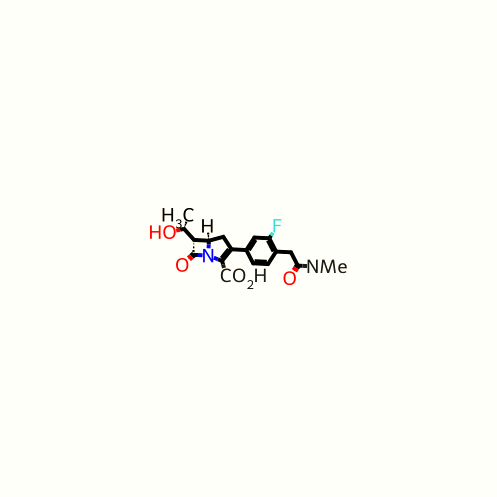 CNC(=O)Cc1ccc(C2=C(C(=O)O)N3C(=O)[C@H]([C@@H](C)O)[C@H]3C2)cc1F